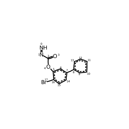 N=NC(=O)Oc1cc(-c2ccccc2)ccc1Br